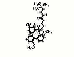 CCc1cnccc1-c1cccc([C@H](C)N(CCCC(=O)NCC[N+](C)(C)C)S(=O)(=O)c2cccc(Cl)c2C)c1